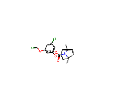 CC(C)(C)OC(=O)N1[C@@H]2CC[C@H]1C[C@@H](Oc1cc(Cl)cc(OCF)c1)C2